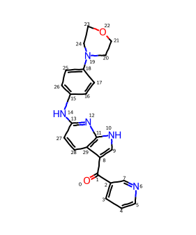 O=C(c1cccnc1)c1c[nH]c2nc(Nc3ccc(N4CCOCC4)cc3)ccc12